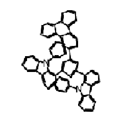 c1ccc(-n2c3ccccc3c3cccc(-c4cc(-c5ccc6c7ccccc7c7ccccc7c6c5)cc(-c5cccc6c7ccccc7n(-c7ccccc7)c56)c4)c32)cc1